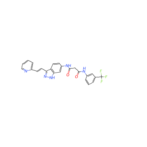 O=C(CC(=O)Nc1ccc2c(/C=C/c3ccccn3)n[nH]c2c1)Nc1cccc(C(F)(F)F)c1